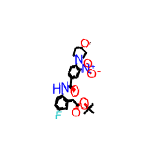 COC1CCN(c2ccc(C(=O)Nc3ccc(F)cc3CC(=O)OC(C)(C)C)cc2[N+](=O)[O-])CC1